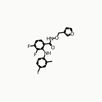 Cc1cc(I)ccc1Nc1c(C(=O)NOCc2ccoc2)ccc(F)c1F